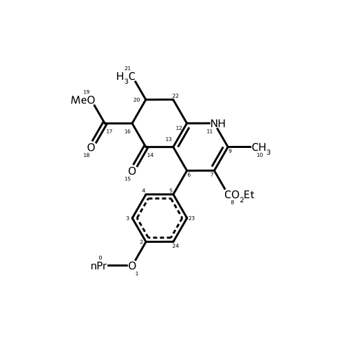 CCCOc1ccc(C2C(C(=O)OCC)=C(C)NC3=C2C(=O)C(C(=O)OC)C(C)C3)cc1